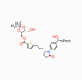 CCCCC[C@H](O)c1ccc(N2C(=O)CC[C@@H]2CCCc2ccc(C(=O)OC[C@H]3OC(C)(C)O[C@@H]3CO)s2)cc1